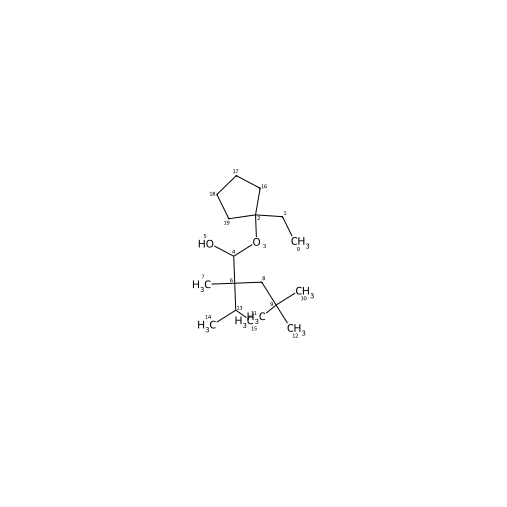 CCC1(OC(O)C(C)(CC(C)(C)C)C(C)C)CCCC1